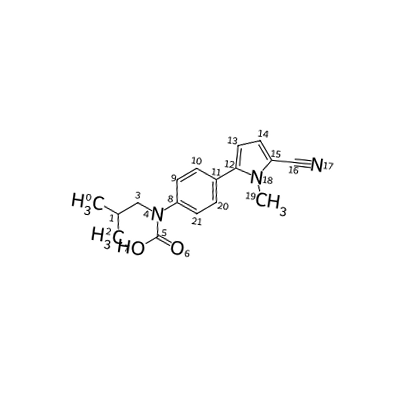 CC(C)CN(C(=O)O)c1ccc(-c2ccc(C#N)n2C)cc1